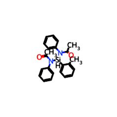 CC(=O)N(c1ccccc1)[SiH](c1ccccc1C)N(C(C)=O)c1ccccc1